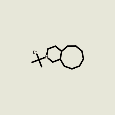 CCC(C)(C)N1CCC2CCCCCCCC2C1